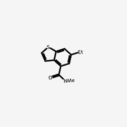 CCc1cc(C(=O)NC)c2ccsc2c1